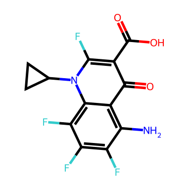 Nc1c(F)c(F)c(F)c2c1c(=O)c(C(=O)O)c(F)n2C1CC1